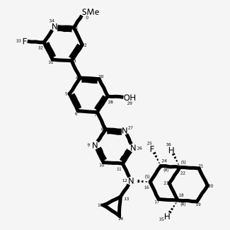 CSc1cc(-c2ccc(-c3ncc(N(C4CC4)[C@H]4C[C@@H]5CCC[C@@H](C5)[C@H]4F)nn3)c(O)c2)cc(F)n1